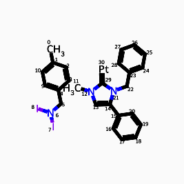 Cc1ccc(CN(I)I)cc1.Cn1cc(-c2ccccc2)n(Cc2ccccc2)[c]1=[Pt]